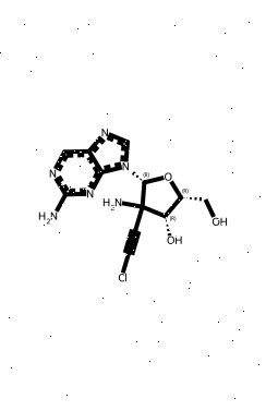 Nc1ncc2ncn([C@@H]3O[C@H](CO)[C@H](O)C3(N)C#CCl)c2n1